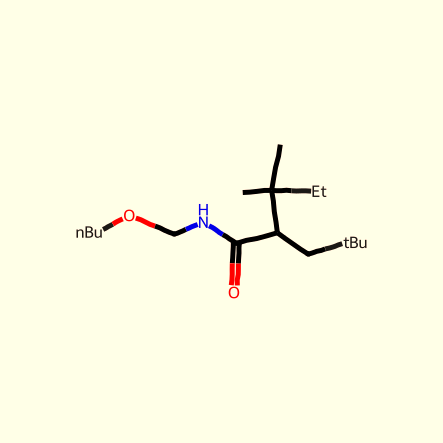 CCCCOCNC(=O)C(CC(C)(C)C)C(C)(C)CC